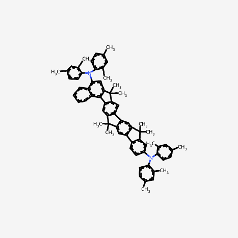 Cc1ccc(N(c2ccc3c(c2)C(C)(C)c2cc4c(cc2-3)C(C)(C)c2cc3c(cc2-4)C(C)(C)c2cc(N(c4ccc(C)cc4C)c4ccc(C)cc4C)c4ccccc4c2-3)c2ccc(C)cc2C)c(C)c1